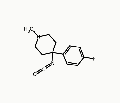 CN1CCC(N=C=O)(c2ccc(F)cc2)CC1